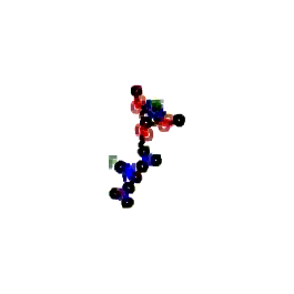 CC1=N/C(=C(/c2c(C)cc(OC(=O)CCCc3ccc(N(c4ccccc4)c4ccc(-c5ccc(-c6ccc(N(c7ccccc7)c7ccccc7)cc6)c6nn(-c7ccc(F)cc7)nc56)cc4)cc3)cc2C)c2c(C)c(C(=O)OCc3ccccc3)c(C)n2B(F)F)C(C)=C1C(=O)OCc1ccccc1